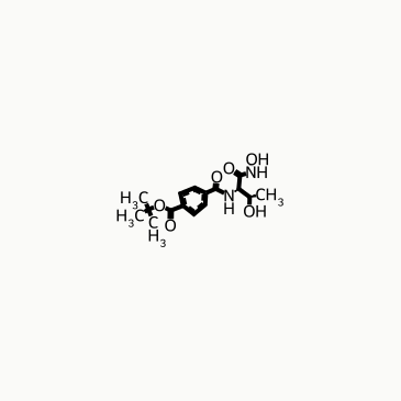 C[C@@H](O)[C@H](NC(=O)c1ccc(C(=O)OC(C)(C)C)cc1)C(=O)NO